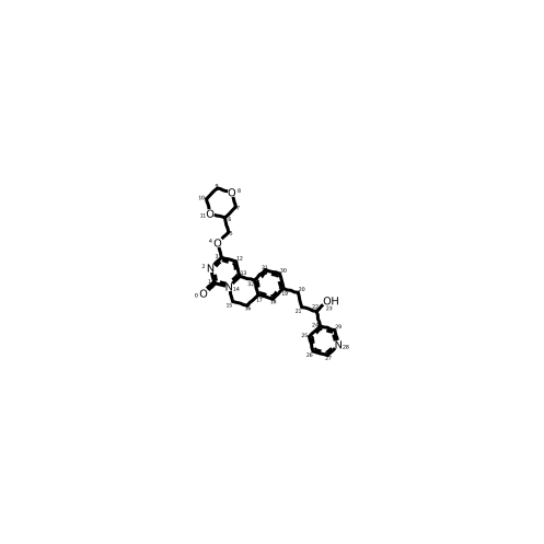 O=c1nc(OCC2COCCO2)cc2n1CCc1cc(CCC(O)c3cccnc3)ccc1-2